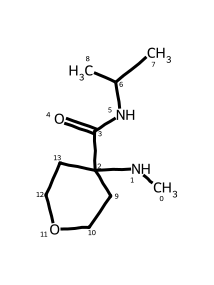 CNC1(C(=O)NC(C)C)CCOCC1